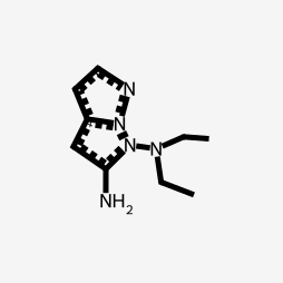 CCN(CC)n1c(N)cc2ccnn21